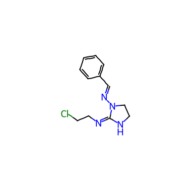 ClCC/N=C1/NCCN1/N=C/c1ccccc1